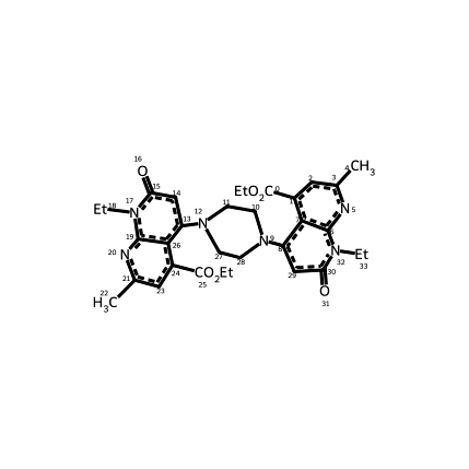 CCOC(=O)c1cc(C)nc2c1c(N1CCN(c3cc(=O)n(CC)c4nc(C)cc(C(=O)OCC)c34)CC1)cc(=O)n2CC